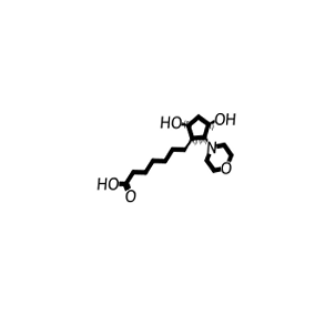 O=C(O)CCCCCC[C@@H]1[C@@H](N2CCOCC2)[C@H](O)C[C@@H]1O